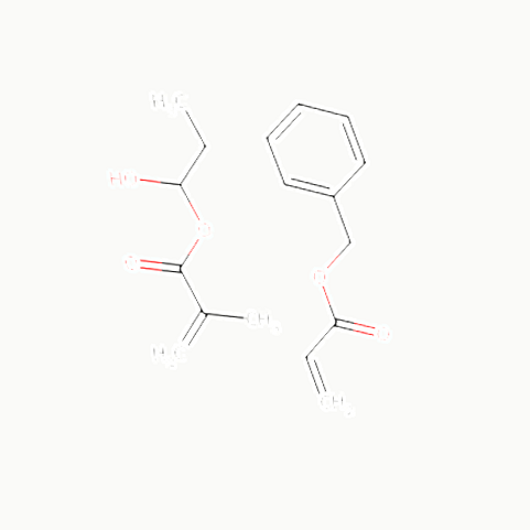 C=C(C)C(=O)OC(O)CC.C=CC(=O)OCc1ccccc1